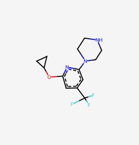 FC(F)(F)c1cc(OC2CC2)nc(N2CCNCC2)c1